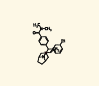 C=CCN1C2CCC1CN(C(C1=CC=CC(CC)C1)c1ccc(C(=O)N(C)C)cc1)C2